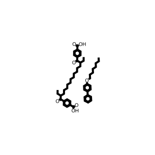 CCC(CCCCCCCCCCCC(CC)C(=O)c1ccc(C(=O)O)cc1)C(=O)c1ccc(C(=O)O)cc1.CCCCCCCCOc1ccc(-c2ccccc2)cc1